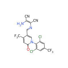 N#CC(N)=C(C#N)N=Cc1cn(-c2c(Cl)cc(C(F)(F)F)cc2Cl)c(=O)cc1C(F)(F)F